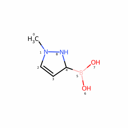 CN1C=CC(B(O)O)N1